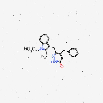 Cc1c(Cc2n[nH]c(=O)cc2Cc2ccccc2)c2ccccc2n1CC(=O)O